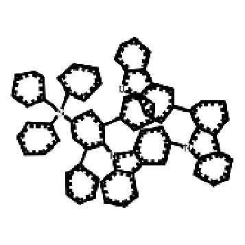 c1ccc(-c2cc([Si](c3ccccc3)(c3ccccc3)c3ccccc3)cc(-c3ccccc3)c2-n2c3ccccc3c3cc(-n4c5ccccc5c5cccc(-c6ccc7oc8ccccc8c7c6)c54)ccc32)cc1